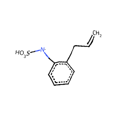 C=CCc1ccccc1[N]S(=O)(=O)O